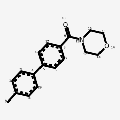 Cc1ccc(-c2ccc(C(=O)N3CCOCC3)cc2)cc1